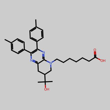 Cc1ccc(-c2nc3c(nc2-c2ccc(C)cc2)N(CCCCCCC(=O)O)CC(C(C)(C)O)C3)cc1